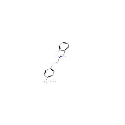 CC(=O)Nc1ccc(OCc2nc3ccccc3o2)cc1